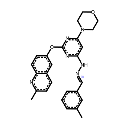 Cc1cccc(/C=N/Nc2cc(N3CCOCC3)nc(Oc3ccc4nc(C)ccc4c3)n2)c1